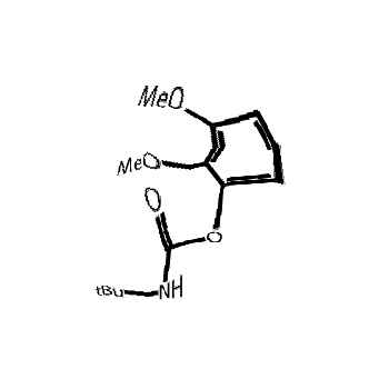 COc1cccc(OC(=O)NC(C)(C)C)c1OC